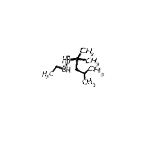 CCBBC(C)(C)CC(C)C